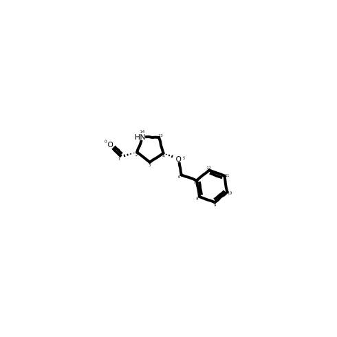 O=C[C@H]1C[C@@H](OCc2ccccc2)CN1